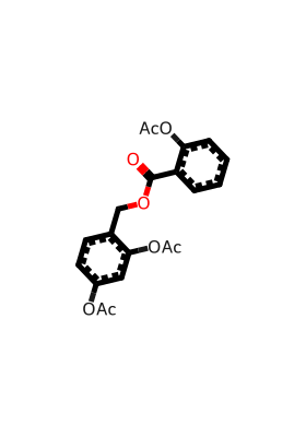 CC(=O)Oc1ccc(COC(=O)c2ccccc2OC(C)=O)c(OC(C)=O)c1